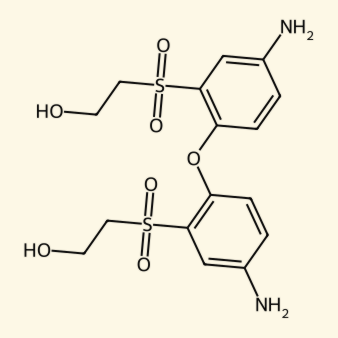 Nc1ccc(Oc2ccc(N)cc2S(=O)(=O)CCO)c(S(=O)(=O)CCO)c1